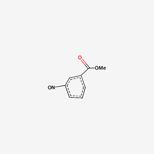 COC(=O)c1cccc(N=O)c1